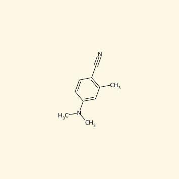 Cc1cc(N(C)C)ccc1C#N